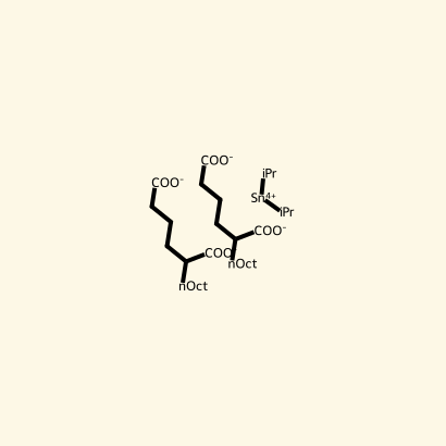 CCCCCCCCC(CCCC(=O)[O-])C(=O)[O-].CCCCCCCCC(CCCC(=O)[O-])C(=O)[O-].C[CH](C)[Sn+4][CH](C)C